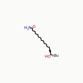 CCCCC(O)C#CCCCCCCCCCCCCC(N)=O